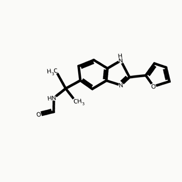 CC(C)(NC=O)c1ccc2[nH]c(-c3ccco3)nc2c1